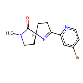 CN1CC[C@]2(CCC(c3cc(Br)ccn3)=N2)C1=O